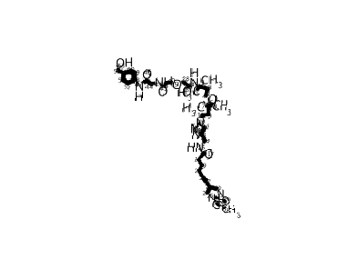 CC(C)(CCOC(C)(C)CCn1cc(CNC(=O)CCCC#Cc2cnc(S(C)(=O)=O)nc2)nn1)NC(=O)COCC(=O)NCC(=O)Nc1ccc(CO)cc1